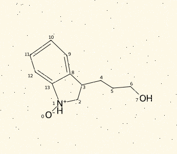 [O-][NH+]1CC(CCCO)c2ccccc21